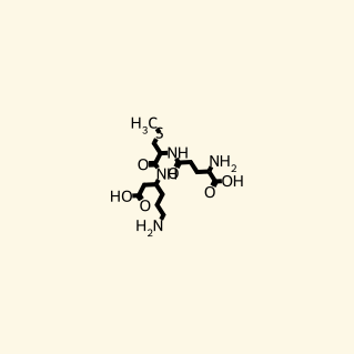 CSCC(NC(=O)CCC(N)C(=O)O)C(=O)NC(CCCN)CC(=O)O